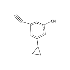 [C]#Cc1cc(C#N)cc(C2CC2)c1